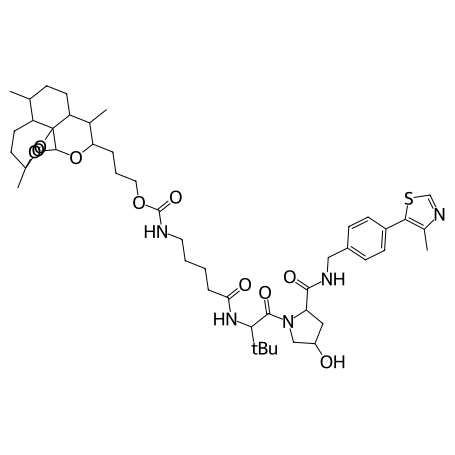 Cc1ncsc1-c1ccc(CNC(=O)C2CC(O)CN2C(=O)C(NC(=O)CCCCNC(=O)OCCCC2OC3OC4(C)CCC5C(C)CCC(C2C)C35OO4)C(C)(C)C)cc1